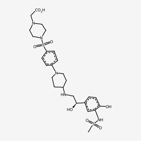 CS(=O)(=O)Nc1cc([C@@H](O)CNC2CCN(c3ccc(S(=O)(=O)N4CCN(CC(=O)O)CC4)cc3)CC2)ccc1O